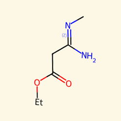 CCOC(=O)C/C(N)=N/C